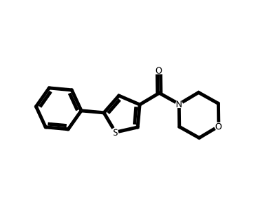 O=C(c1csc(-c2ccccc2)c1)N1CCOCC1